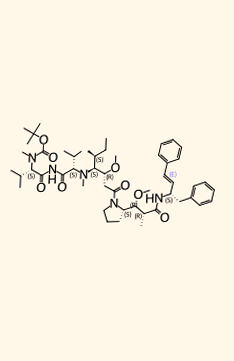 CC[C@H](C)[C@@H]([C@@H](CC(=O)N1CCC[C@H]1[C@H](OC)[C@@H](C)C(=O)N[C@H](/C=C/c1ccccc1)Cc1ccccc1)OC)N(C)[C@H](C(=O)NC(=O)[C@H](C(C)C)N(C)C(=O)OC(C)(C)C)C(C)C